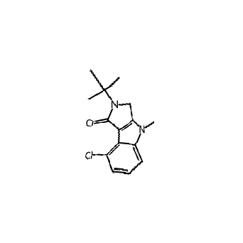 Cn1c2c(c3c(Cl)cccc31)C(=O)N(C(C)(C)C)C2